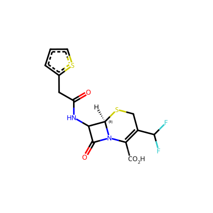 O=C(Cc1cccs1)NC1C(=O)N2C(C(=O)O)=C(C(F)F)CS[C@H]12